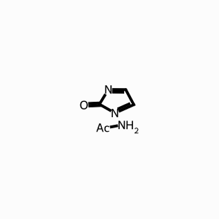 CC(N)=O.O=C1N=CC=N1